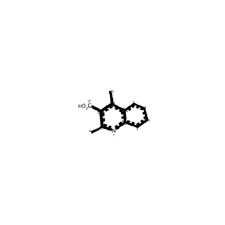 Cc1nc2ccccc2c(C)c1C(=O)O